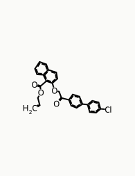 C=CCOC(=O)c1c(OCC(=O)c2ccc(-c3ccc(Cl)cc3)cc2)ccc2ccccc12